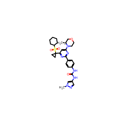 C[C@H]1COCCN1c1cc(C2(S(=O)(=O)C3CCCCC3)CC2)nc(-c2ccc(NC(=O)Nc3cnn(C)c3)cc2)n1